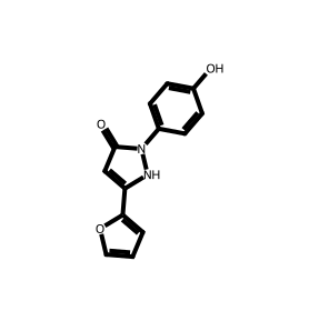 O=c1cc(-c2ccco2)[nH]n1-c1ccc(O)cc1